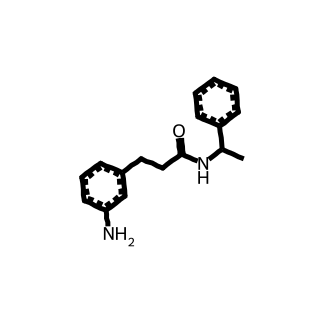 CC(NC(=O)CCc1cccc(N)c1)c1ccccc1